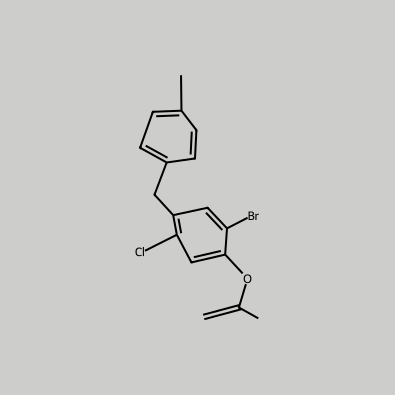 C=C(C)Oc1cc(Cl)c(Cc2ccc(C)cc2)cc1Br